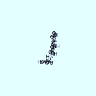 CC(=O)C(CCCCNC(=O)COCC(=O)Nc1ccc(CCC(=O)N2CCC2=O)cc1)NC(=O)CCS